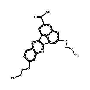 NOOSc1cc2c3c(cc(C(N)=O)cc3c1)-c1nc3ccc(SOOO)cc3nc1-2